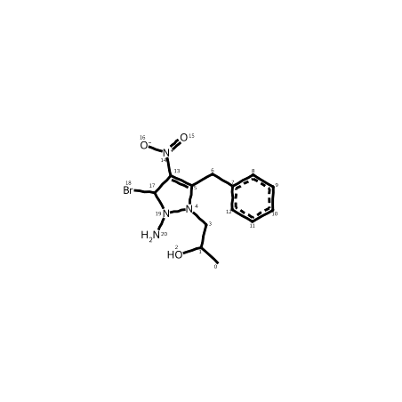 CC(O)CN1C(Cc2ccccc2)=C([N+](=O)[O-])C(Br)N1N